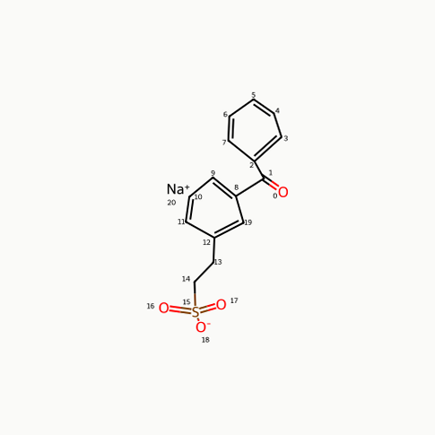 O=C(c1ccccc1)c1cccc(CCS(=O)(=O)[O-])c1.[Na+]